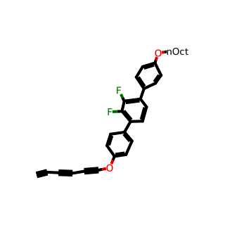 C#CC#CC#COc1ccc(-c2ccc(-c3ccc(OCCCCCCCC)cc3)c(F)c2F)cc1